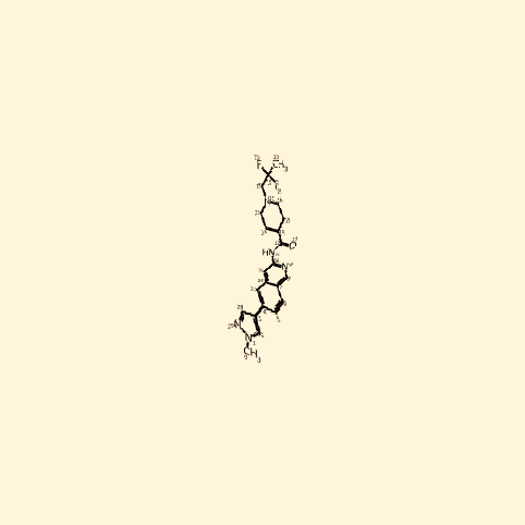 Cn1cc(-c2ccc3cnc(NC(=O)C4CCN(CC(C)(F)F)CC4)cc3c2)cn1